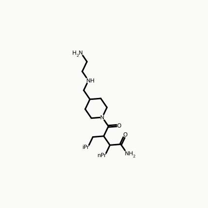 CCCC(C(N)=O)C(CC(C)C)C(=O)N1CCC(CNCCN)CC1